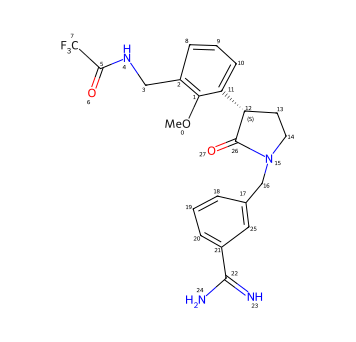 COc1c(CNC(=O)C(F)(F)F)cccc1[C@@H]1CCN(Cc2cccc(C(=N)N)c2)C1=O